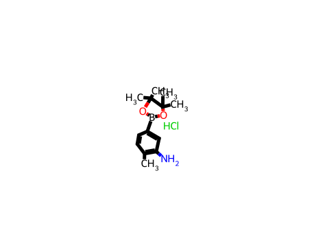 Cc1ccc(B2OC(C)(C)C(C)(C)O2)cc1N.Cl